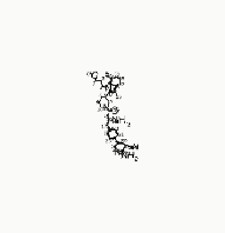 COCCCn1c(C2CCCN(C(=O)C[C@H](N)Cc3ccc(-c4cnc(N)c(C#N)c4)cc3)C2)c(C)c2cccc(F)c21